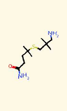 CC(C)(CN)CSC(C)(C)CCC(N)=O